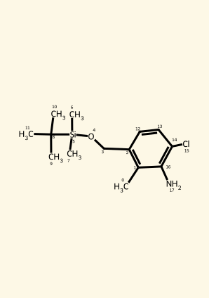 Cc1c(CO[Si](C)(C)C(C)(C)C)ccc(Cl)c1N